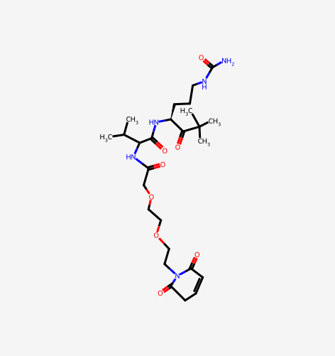 CC(C)C(NC(=O)COCCOCCN1C(=O)C=CCC1=O)C(=O)N[C@@H](CCCNC(N)=O)C(=O)C(C)(C)C